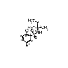 CCC(C)(C)NS(=O)(=O)c1cc(F)ccc1Cl